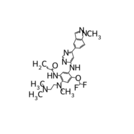 C=CC(=O)Nc1cc(Nc2cc(-c3ccc4c(cnn4C)c3)ncn2)c(OC(F)F)cc1N(C)CCN(C)C